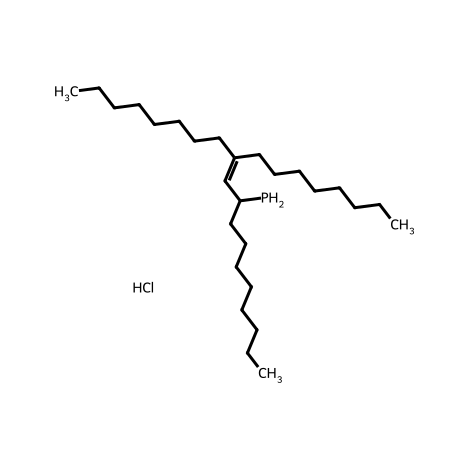 CCCCCCCCC(=CC(P)CCCCCCCC)CCCCCCCC.Cl